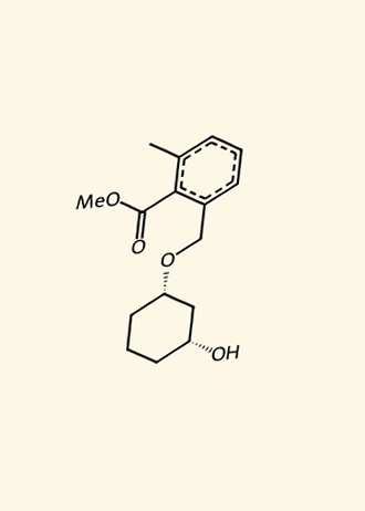 COC(=O)c1c(C)cccc1CO[C@H]1CCC[C@@H](O)C1